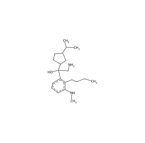 CCCCc1c(NC)cccc1C(O)(CN)C1CCC(C(C)C)C1